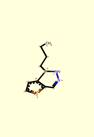 CCCCB1NN=Cc2sccc21